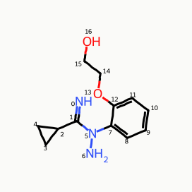 N=C(C1CC1)N(N)c1ccccc1OCCO